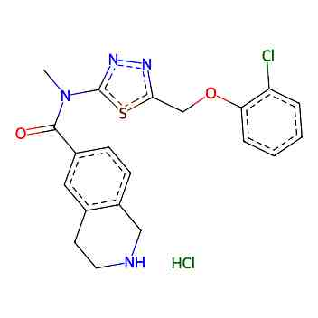 CN(C(=O)c1ccc2c(c1)CCNC2)c1nnc(COc2ccccc2Cl)s1.Cl